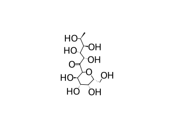 C[C@H](O)[C@@H](O)[C@@H](O)[C@H](O)C(=O)C1O[C@H](CO)[C@H](O)[C@H](O)[C@H]1O